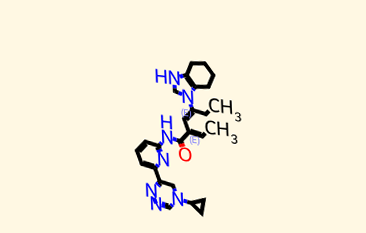 C/C=C(\C=C(/CC)N1CNC2=C1CCCC2)C(=O)Nc1cccc(C2=NN=CN(C3CC3)C2)n1